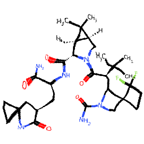 CC(C)(C)[C@H](C(=O)N1C[C@H]2[C@@H]([C@H]1C(=O)N[C@@H](C[C@@H]1CC3(CC3)NC1=O)C(N)=O)C2(C)C)C1N(C(N)=O)CC12CCC2(F)F